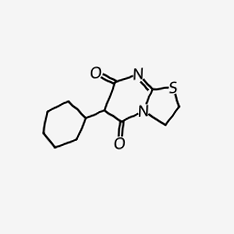 O=C1N=C2SCCN2C(=O)C1C1CCCCC1